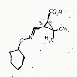 CC1(C)[C@H](C(=O)O)[C@@H]1C=NOC1CCCC1